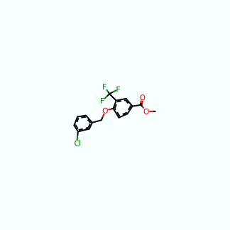 COC(=O)c1ccc(OCc2cccc(Cl)c2)c(C(F)(F)F)c1